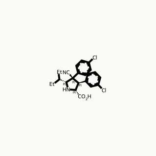 CCC(CC)[C@H]1N[C@@H](C(=O)O)[C@H](c2cccc(Cl)c2)[C@@]1(C#N)c1ccc(Cl)cc1